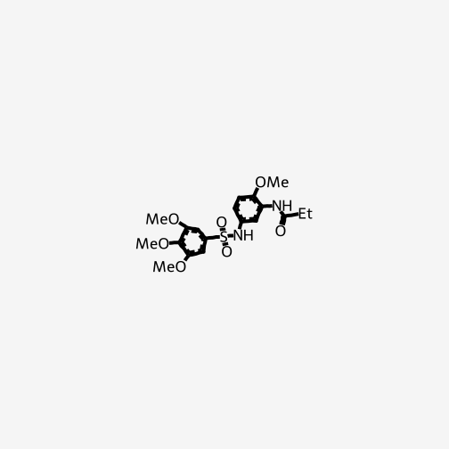 CCC(=O)Nc1cc(NS(=O)(=O)c2cc(OC)c(OC)c(OC)c2)ccc1OC